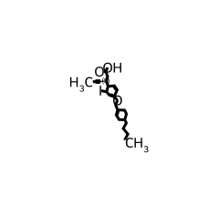 CC#C[C@@H](CC(=O)O)C1C=CC(OCC2=CCC(CCCCC)CC2)=CC1I